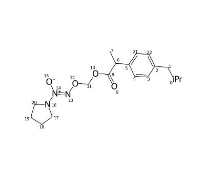 CC(C)Cc1ccc(C(C)C(=O)OCO/N=[N+](\[O-])N2CCCC2)cc1